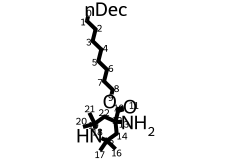 CCCCCCCCCCCCCCCCCCOC(=O)C1(N)CC(C)(C)NC(C)(C)C1